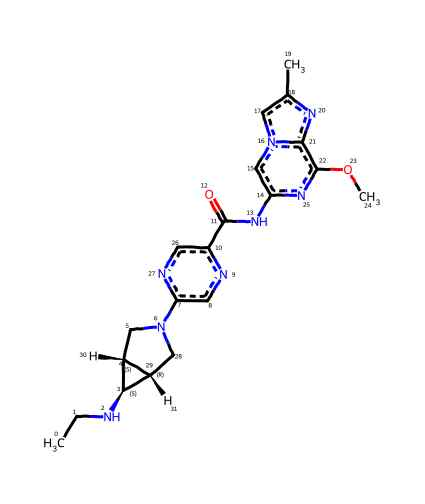 CCN[C@H]1[C@@H]2CN(c3cnc(C(=O)Nc4cn5cc(C)nc5c(OC)n4)cn3)C[C@@H]21